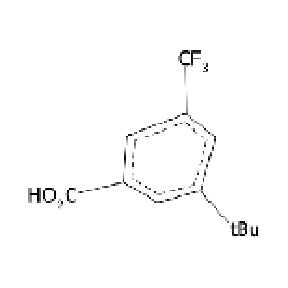 CC(C)(C)c1cc(C(=O)O)cc(C(F)(F)F)c1